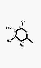 O[C@H]1[C@H](O)[C@@H](O)SC(S)[C@H]1O